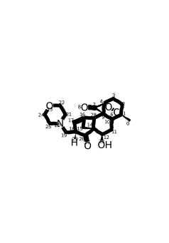 C[C@]12CC[C@@]3(OC1)C(=O)[C@]31C2C[C@@H](O)[C@]23CC(=C[C@H](CN4CCOCC4)C2=O)C13